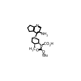 C[C@H]1CCN(c2c(N)cnc3c2CCC3)C[C@H]1N(C(=O)O)C(=O)OC(C)(C)C